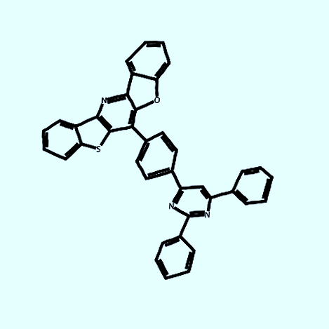 c1ccc(-c2cc(-c3ccc(-c4c5oc6ccccc6c5nc5c4sc4ccccc45)cc3)nc(-c3ccccc3)n2)cc1